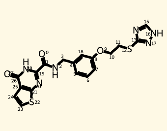 O=C(NCc1cccc(OCCSc2nc[nH]n2)c1)c1nc2sccc2c(=O)[nH]1